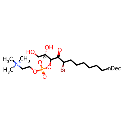 CCCCCCCCCCCCCCCCC(Br)C(=O)C(OP(=O)([O-])OCC[N+](C)(C)C)[C@@H](O)CO